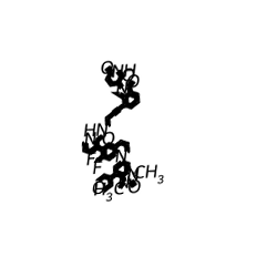 Cn1c(=O)n(C)c2c(C3CCOCC3)cc(N3CCCc4cc(-c5cccnc5C(=O)NCCC#Cc5cccc6c5CN(C5CCC(=O)NC5=O)C6=O)c(C(F)F)cc43)cc21